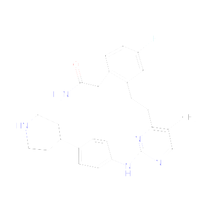 NC(=O)Cc1ccc(F)cc1CCc1nc(Nc2ccc(C3CCNCC3)cc2)ncc1C(F)(F)F